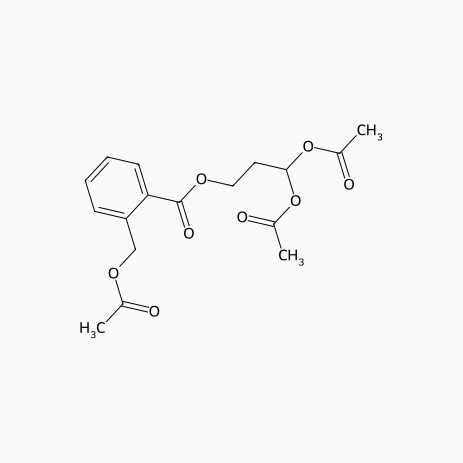 CC(=O)OCc1ccccc1C(=O)OCCC(OC(C)=O)OC(C)=O